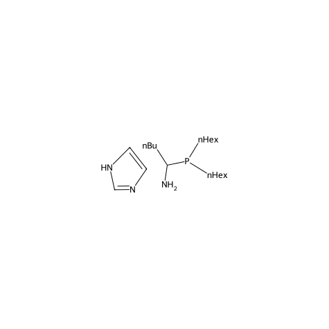 CCCCCCP(CCCCCC)C(N)CCCC.c1c[nH]cn1